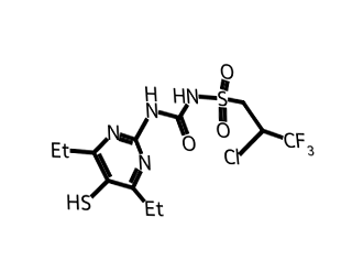 CCc1nc(NC(=O)NS(=O)(=O)CC(Cl)C(F)(F)F)nc(CC)c1S